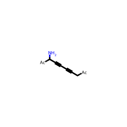 CC(=O)CC#CC#CC(N)C(C)=O